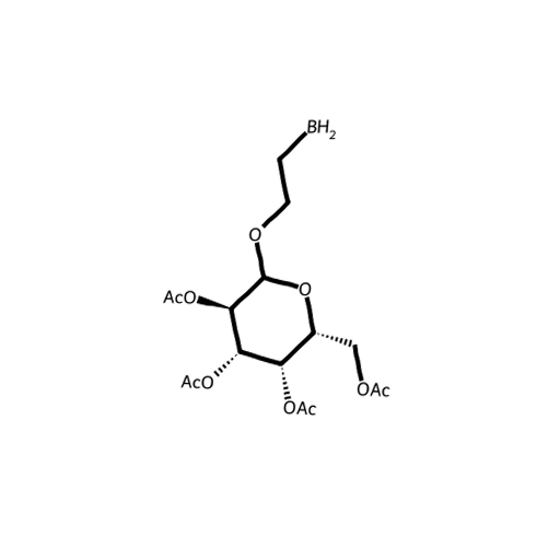 BCCOC1O[C@H](COC(C)=O)[C@H](OC(C)=O)[C@H](OC(C)=O)[C@H]1OC(C)=O